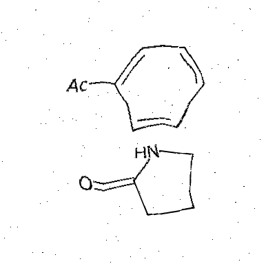 CC(=O)c1ccccc1.O=C1CCCN1